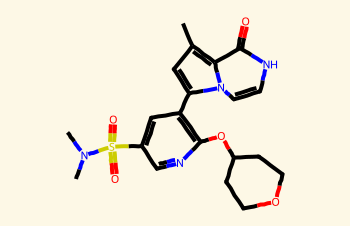 Cc1cc(-c2cc(S(=O)(=O)N(C)C)cnc2OC2CCOCC2)n2cc[nH]c(=O)c12